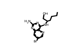 CCCCC(CO)Nc1nc(N)nc2cc(Br)cnc12